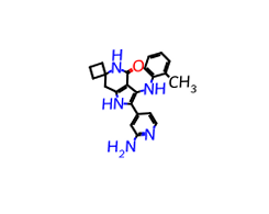 Cc1ccccc1Nc1c(-c2ccnc(N)c2)[nH]c2c1C(=O)NC1(CCC1)C2